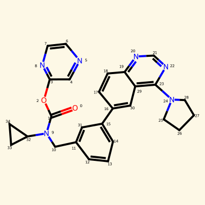 O=C(Oc1cnccn1)N(Cc1cccc(-c2ccc3ncnc(N4CCCC4)c3c2)c1)C1CC1